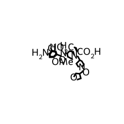 COc1cc(N)c(Cl)cc1C(=O)NC1CCN(CC2CCN(C(=O)C3CCOC3)CC2)CC1.O=C(O)C=CC(=O)O